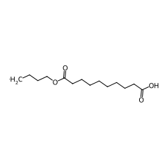 [CH2]CCCOC(=O)CCCCCCCCC(=O)O